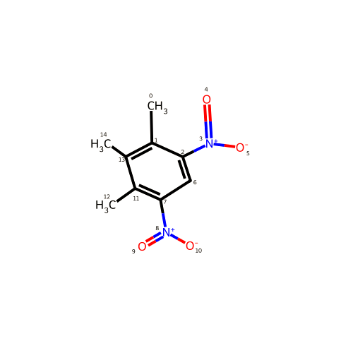 Cc1c([N+](=O)[O-])cc([N+](=O)[O-])c(C)c1C